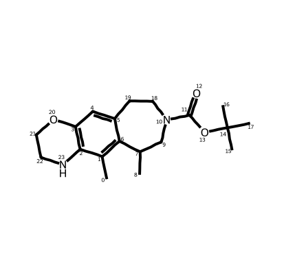 Cc1c2c(cc3c1C(C)CN(C(=O)OC(C)(C)C)CC3)OCCN2